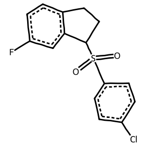 O=S(=O)(c1ccc(Cl)cc1)C1CCc2ccc(F)cc21